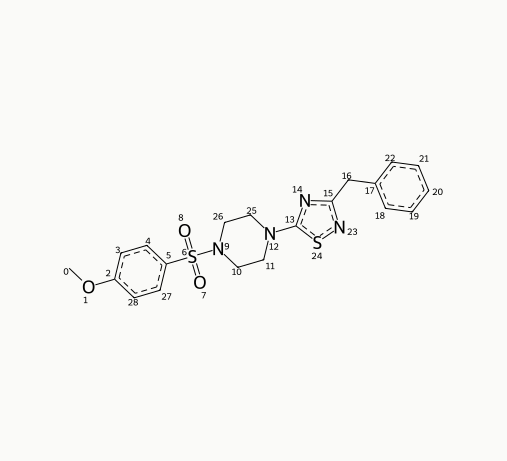 COc1ccc(S(=O)(=O)N2CCN(c3nc(Cc4ccccc4)ns3)CC2)cc1